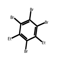 CCc1c(Br)c(Br)c(Br)c(CC)c1Br